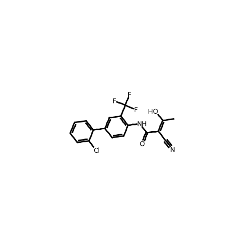 CC(O)=C(C#N)C(=O)Nc1ccc(-c2ccccc2Cl)cc1C(F)(F)F